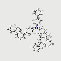 CC1(C)c2ccc(N(c3ccc(-c4ccccc4)cc3)c3ccc(-c4cccc5c4sc4ccccc45)cc3)cc2-c2cc(-c3ccccc3)c3ccccc3c21